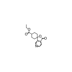 CCOC(=O)C1CCC2(CC1)OC(=O)c1ccncc12